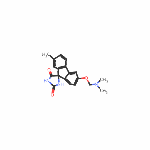 Cc1ccc2c(c1)C1(NC(=O)NC1=O)c1ccc(OCN(C)C)cc1-2